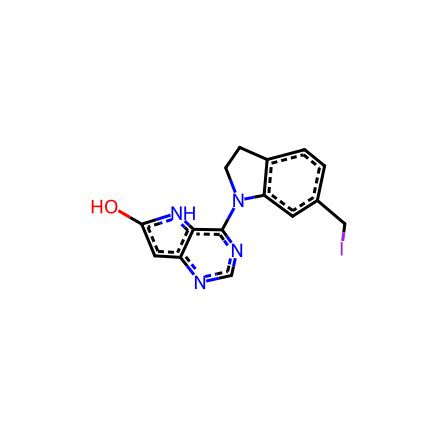 Oc1cc2ncnc(N3CCc4ccc(CI)cc43)c2[nH]1